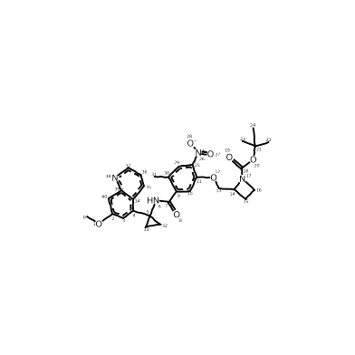 COc1cc(C2(NC(=O)c3cc(OCC4CCN4C(=O)OC(C)(C)C)c([N+](=O)[O-])cc3C)CC2)c2cccnc2c1